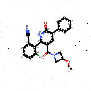 COC1CN(C(=O)c2cc(-c3ccccc3)c(=O)[nH]c2-c2c(Cl)cccc2C#N)C1